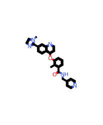 Cc1c(Oc2ccnc3cc(-c4nccn4C)ccc23)cccc1C(=O)NCc1ccncc1